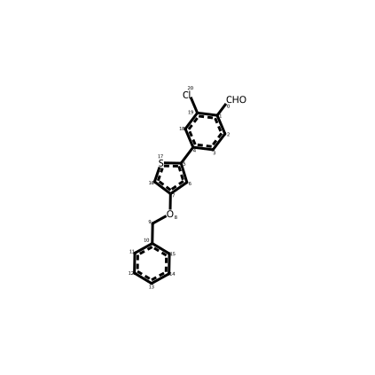 O=Cc1ccc(-c2cc(OCc3ccccc3)cs2)cc1Cl